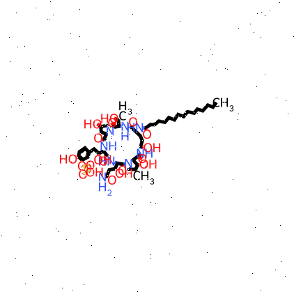 CCCCCCCCCCCCCCCC(=O)NC1CCC(O)NC(=O)C2C(O)C(C)CN2C(=O)C(C(O)CC(N)=O)NC(=O)C(C(O)Cc2ccc(O)c(OS(=O)(=O)O)c2)NC(=O)C2CC(O)CN2C(=O)C(C(C)O)NC1=O